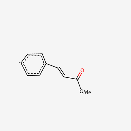 COC(=O)/C=C/c1cc[c]cc1